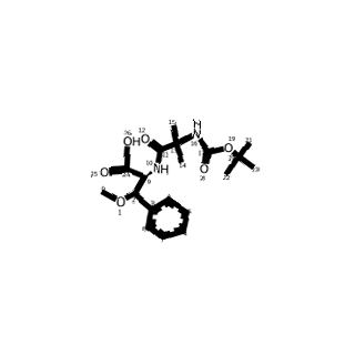 COC(c1ccccc1)[C@@H](NC(=O)C(C)(C)NC(=O)OC(C)(C)C)C(=O)O